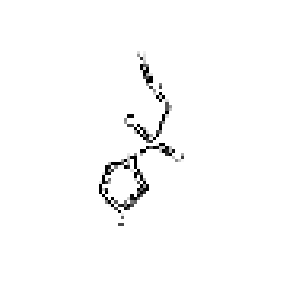 [N-]=[N+]=NS(=O)(=O)[n+]1cc[nH]c1